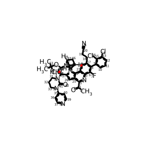 CC(=O)c1nc2c(F)c(-c3cccc(Cl)c3Cl)c(CCC#N)cc2c2c1cc([C@@H](C)N1CCCN(c3ccncc3)C1=O)n2[C@H]1[C@@H]2C[C@H]1N(C(=O)OC(C)(C)C)C2